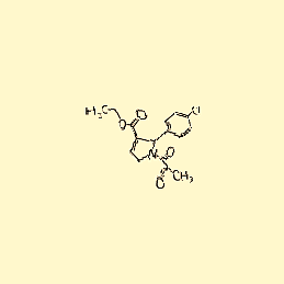 CCOC(=O)C1=CCN(S(C)(=O)=O)C1c1ccc(Cl)cc1